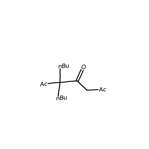 CCCCC(CCCC)(C(C)=O)C(=O)CC(C)=O